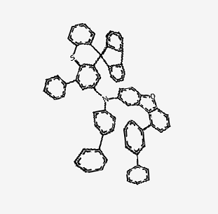 c1ccc(-c2ccc(N(c3cc(-c4ccccc4)c4c(c3)C3(c5ccccc5S4)c4ccccc4-c4ccccc43)c3ccc4oc5cccc(-c6cccc(-c7ccccc7)c6)c5c4c3)cc2)cc1